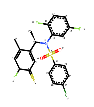 [CH2]C1=CC(F)C(=S)C=C1[C@@H](C)N(c1cc(F)ccc1F)S(=O)(=O)c1ccc(Cl)cc1